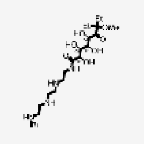 CCC(C)NCCNCCNCCNC(=O)[C@H](O)[C@@H](O)[C@H](O)[C@H](O)C(=O)C(CC)(CC)OC